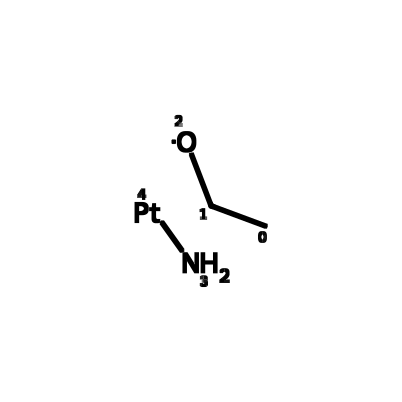 CC[O].[NH2][Pt]